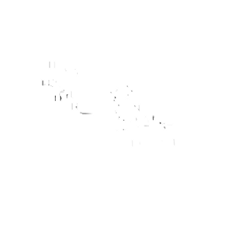 CN[C@@](C)(CO[C@H]1[C@H](n2ncnc2N2CCCCC2)C[C@@]23COC[C@]1(C)[C@@H]2CC[C@H]1C3=CC[C@@]2(C)[C@H](C(=O)O)[C@@](C)([C@H](C)C(C)C)CC[C@]12C)C(C)C